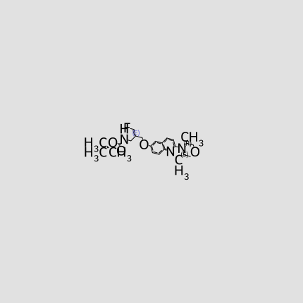 C[C@@H]1COC[C@H](C)N1c1ccc2cc(OC/C(=C/F)CNC(=O)OC(C)(C)C)ccc2n1